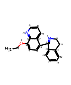 CCOc1ccc(C2=NCCc3ccccc32)c2cccnc12